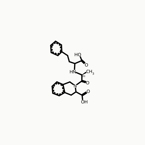 C[C@H](NC(CCc1ccccc1)C(=O)O)C(=O)N1Cc2ccccc2CC1C(=O)O